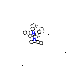 CC1(C)CCC(C)(C)c2cc(N3C4=C(B5c6c(cc7c(c63)C(C)(C)c3ccccc3-7)-c3cccc6c7cc8ccccc8cc7n5c36)C(C)(C)c3cc5c(cc34)C(C)(C)CCC5(C)C)ccc21